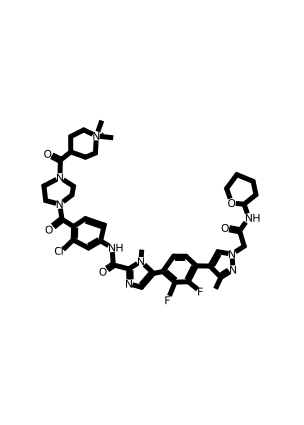 Cc1nn(CC(=O)NC2CCCCO2)cc1-c1ccc(-c2cnc(C(=O)Nc3ccc(C(=O)N4CCN(C(=O)C5CC[N+](C)(C)CC5)CC4)c(Cl)c3)n2C)c(F)c1F